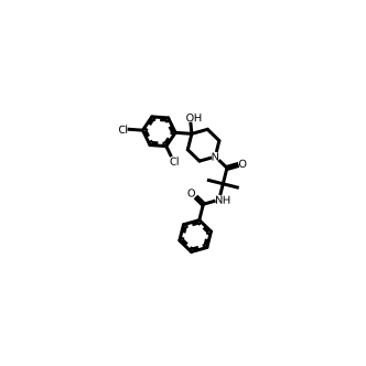 CC(C)(NC(=O)c1ccccc1)C(=O)N1CCC(O)(c2ccc(Cl)cc2Cl)CC1